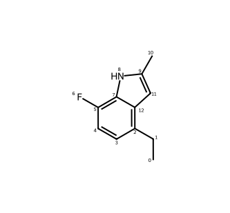 CCc1ccc(F)c2[nH]c(C)cc12